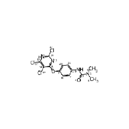 CN(C)C(=O)Nc1ccc(Oc2nc(Cl)nc(Cl)c2Cl)cc1